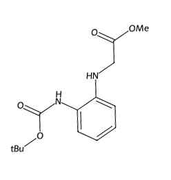 COC(=O)CNc1ccccc1NC(=O)OC(C)(C)C